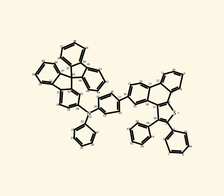 c1ccc(-c2sc3c4ccccc4c4ccc(-c5ccc(N(c6ccccc6)c6ccc7c(c6)C6(c8ccccc8-c8ccccc86)c6ccccc6-7)cc5)cc4c3c2-c2ccccc2)cc1